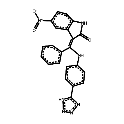 O=C1Nc2ccc([N+](=O)[O-])cc2/C1=C(/Nc1ccc(-c2nnn[nH]2)cc1)c1ccccc1